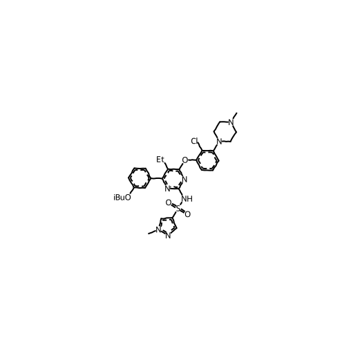 CCc1c(Oc2cccc(N3CCN(C)CC3)c2Cl)nc(NS(=O)(=O)c2cnn(C)c2)nc1-c1cccc(OCC(C)C)c1